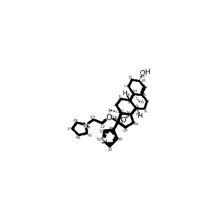 C[C@]12CC[C@H]3[C@@H](CCC4=C[C@@H](O)CC[C@@]43C)[C@@]1(O)CC[C@]2(OCCN1CCCC1)c1ccsc1